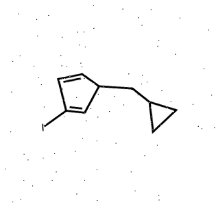 IC1=CC(CC2CC2)C=C1